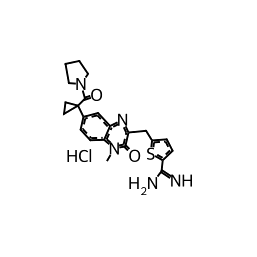 Cl.Cn1c(=O)c(Cc2ccc(C(=N)N)s2)nc2cc(C3(C(=O)N4CCCC4)CC3)ccc21